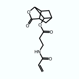 C=CC(=O)NCCC(=O)OC1C2CC3C(=O)OC1C3C2